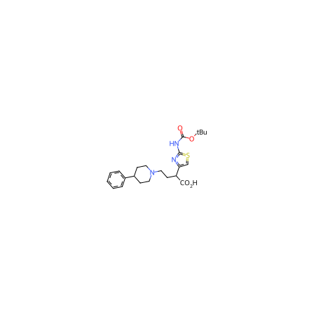 CC(C)(C)OC(=O)Nc1nc(C(CCN2CCC(c3ccccc3)CC2)C(=O)O)cs1